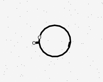 O=C1CCCCCCCC=CCCCCCCCCO1